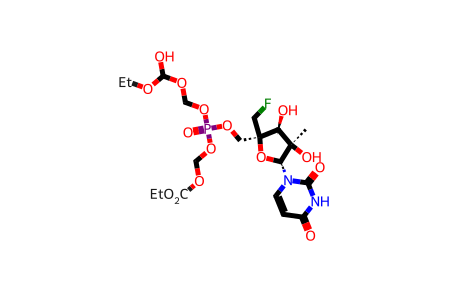 CCOC(=O)OCOP(=O)(OCOC(O)OCC)OC[C@@]1(CF)O[C@@H](n2ccc(=O)[nH]c2=O)[C@](C)(O)[C@@H]1O